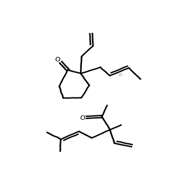 C=CC(C)(CC=C(C)C)C(C)=O.C=CCC1(C/C=C/C)CCCCC1=O